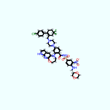 O=C(NS(=O)(=O)c1ccc(NC[C@H]2COCCO2)c([N+](=O)[O-])c1)c1ccc(N2CCN(CC3=C(c4ccc(Cl)cc4)CCC(F)(F)C3)CC2)cc1N1CCCOc2nc3[nH]ccc3cc21